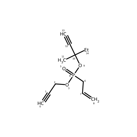 C#CCOP(=O)(CC=C)OC(C)(C#C)CC